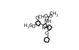 COC(=O)CNc1c(-c2cc(OC)cc(OC)c2)nc2c(OCc3ccccc3)cccn12